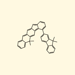 CC1(C)c2ccccc2-c2ccc(-c3cccc4c3=c3cc5c(cc3C=4)=Cc3ccccc3C5(C)C)cc21